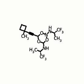 C[C@@H](NC1OC(C#CC2(C)CCC2)ON(N[C@H](C)C(F)(F)F)O1)C(F)(F)F